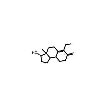 CCC1=C2CCC3(C)C(CC[C@H]3O)C2CCC1=O